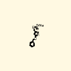 COS(=O)(=O)Cc1cc(OCc2ccccc2)no1